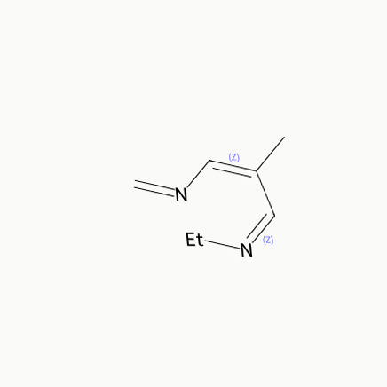 C=N/C=C(C)\C=N/CC